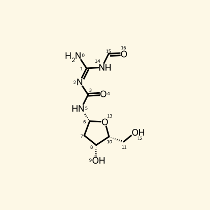 N/C(=N/C(=O)N[C@H]1C[C@@H](O)[C@@H](CO)O1)NC=O